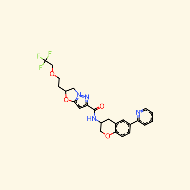 O=C(NC1COc2ccc(-c3ccccn3)cc2C1)c1cc2n(n1)CC(CCOCC(F)(F)F)O2